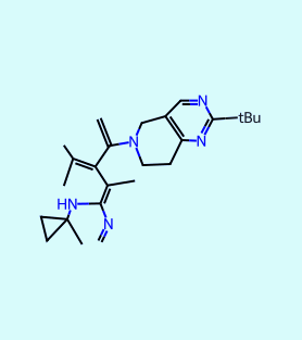 C=N/C(NC1(C)CC1)=C(\C)C(C(=C)N1CCc2nc(C(C)(C)C)ncc2C1)=C(C)C